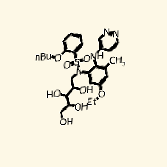 CCCCOc1ccccc1S(=O)(=O)N(CC(O)C(O)C(O)CO)c1cc(OCC)cc(C)c1Nc1ccnnc1